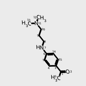 CC(=O)c1ccc(NCCCN(C)C)cc1